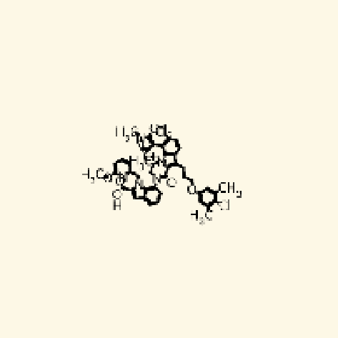 COc1cccc(Cn2c(C(=O)O)cc3cccc(N4CC(C)n5c(c(CCCOc6cc(C)c(Cl)c(C)c6)c6ccc(Cl)c(-c7c(C)nn(C)c7C)c65)C4=O)c32)n1